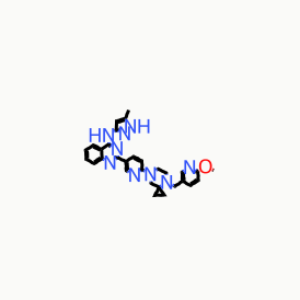 COc1ccc(CN2CCN(c3ccc(-c4nc(Nc5cc(C)[nH]n5)c5ccccc5n4)cn3)CC23CC3)cn1